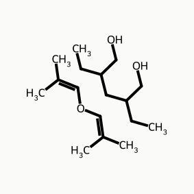 CC(C)=COC=C(C)C.CCC(CO)CC(CC)CO